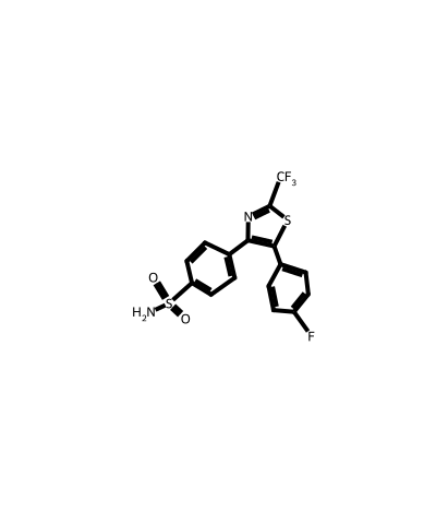 NS(=O)(=O)c1ccc(-c2nc(C(F)(F)F)sc2-c2ccc(F)cc2)cc1